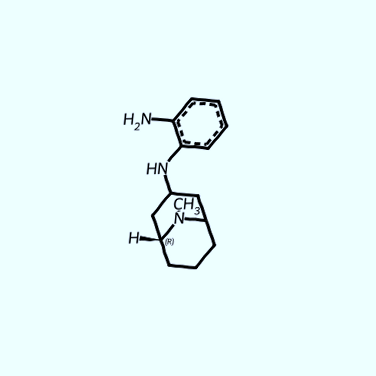 CN1C2CCC[C@@H]1CC(Nc1ccccc1N)C2